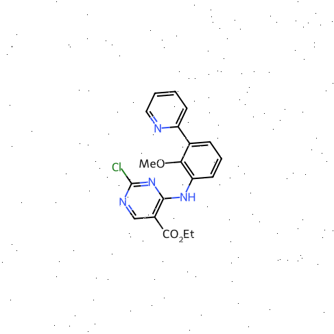 CCOC(=O)c1cnc(Cl)nc1Nc1cccc(-c2ccccn2)c1OC